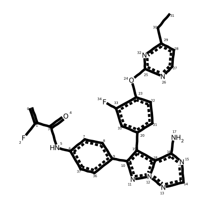 C=C(F)C(=O)Nc1ccc(-c2nn3ncnc(N)c3c2-c2ccc(Oc3nccc(CC)n3)c(F)c2)cc1